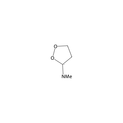 CN[C]1CCOO1